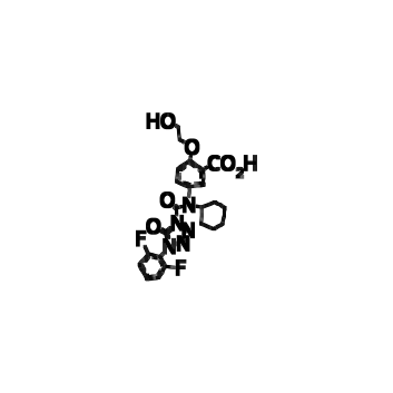 O=C(O)c1cc(N(C(=O)n2nnn(-c3c(F)cccc3F)c2=O)C2CCCCC2)ccc1OCCO